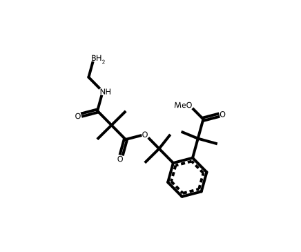 BCNC(=O)C(C)(C)C(=O)OC(C)(C)c1ccccc1C(C)(C)C(=O)OC